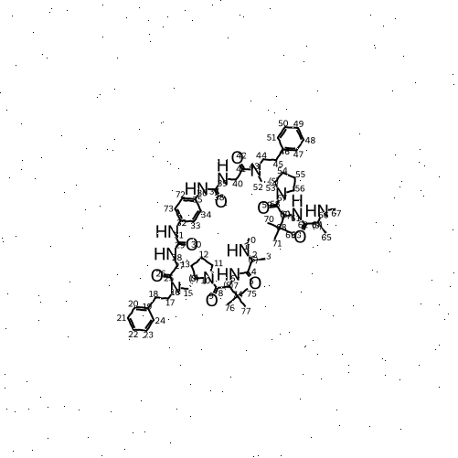 CN[C@@H](C)C(=O)N[C@H](C(=O)N1CCC[C@H]1CN(CCc1ccccc1)C(=O)CNC(=O)Nc1ccc(NC(=O)NCC(=O)N(CCc2ccccc2)C[C@@H]2CCCN2C(=O)[C@@H](NC(=O)[C@H](C)NC)C(C)(C)C)cc1)C(C)(C)C